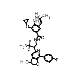 C/C(N)=C/c1cc(C(=O)NCC(c2cc3c(c(-c4ccc(F)cc4)n2)OCC3C)C(N)(F)F)cc(OC2CC2)c1N